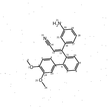 COc1ccc(-c2ccccc2C(=CC#N)c2cccc(N)c2)cc1OC